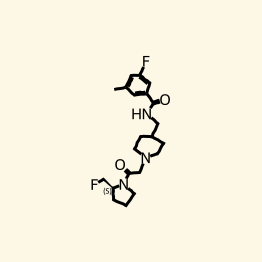 Cc1cc(F)cc(C(=O)NCC2CCN(CC(=O)N3CCC[C@H]3CF)CC2)c1